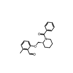 Cc1cccc(OC[C@@H]2CCCCN2C(=O)c2ccccc2)c1C=O